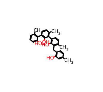 Cc1ccc(Cc2c(C)ccc(-c3c(C)ccc(-c4c(C)cccc4O)c3O)c2O)c(O)c1